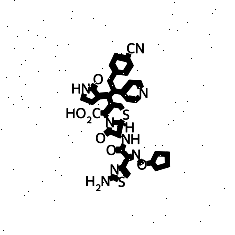 N#Cc1ccc(CC(C(=C2CCNC2=O)C2=C(C(=O)O)N3C(=O)[C@@H](NC(=O)C(=NOC4CCCC4)c4csc(N)n4)[C@H]3SC2)c2ccncc2)cc1